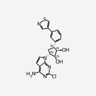 Nc1nc(Cl)nc2c1ccn2[C@@H]1C[C@H](c2cccc(-c3cnsc3)c2)[C@@H](O)[C@H]1O